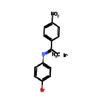 C/C(=N\c1ccc(Br)cc1)c1ccc([N+](=O)[O-])cc1.[Ir]